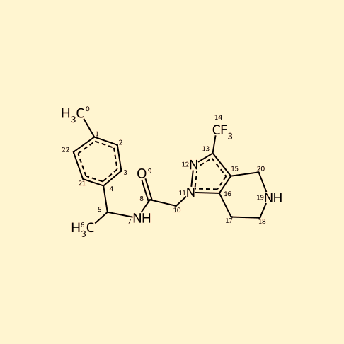 Cc1ccc(C(C)NC(=O)Cn2nc(C(F)(F)F)c3c2CCNC3)cc1